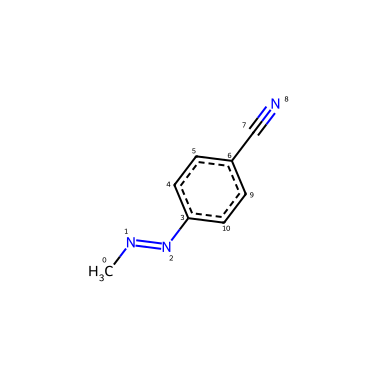 C/N=N/c1ccc(C#N)cc1